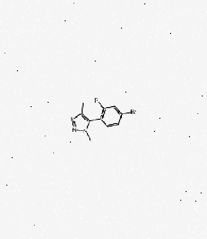 Cc1nnn(C)c1-c1ccc(Br)cc1F